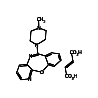 CN1CCN(C2=Nc3cccnc3Oc3ccccc32)CC1.O=C(O)C=CC(=O)O